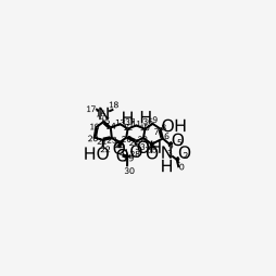 CC(=O)NC(=O)C1=C(O)C[C@@H]2C[C@@H]3Cc4c(N(C)C)ccc(O)c4C(=O)C3=C(OC(C)=O)[C@]2(O)C1=O